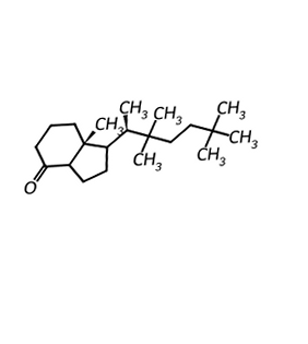 C[C@H](C1CCC2C(=O)CCC[C@@]21C)C(C)(C)CCC(C)(C)C